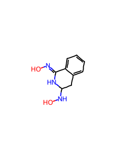 ON=C1NC(NO)Cc2ccccc21